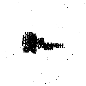 CCC1CC(C(=O)NCCNC(=O)c2cn(CCCO)nn2)C[C@@H](O[C@@H]2OC(CO)[C@H](O)C(O[C@@H](CC3CCCCC3)C(=O)N3CCC3)C2NC(C)=O)C1O[C@@H]1OC(C)[C@@H](O)C(O)C1O